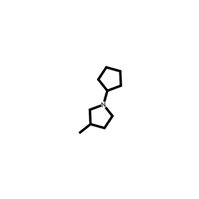 CC1CCN(C2CCCC2)C1